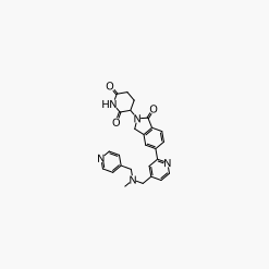 CN(Cc1ccncc1)Cc1ccnc(-c2ccc3c(c2)CN(C2CCC(=O)NC2=O)C3=O)c1